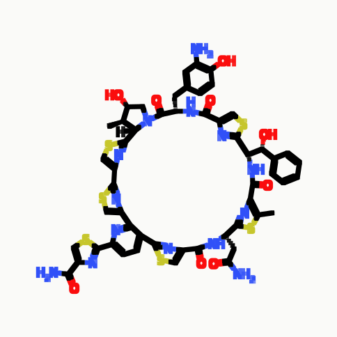 Cc1sc2nc1C(=O)N[C@@H]([C@H](O)c1ccccc1)c1nc(cs1)C(=O)N[C@@H](Cc1ccc(O)c(N)c1)C(=O)N1C[C@H](O)[C@H](C)[C@H]1c1nc(cs1)-c1nc(cs1)-c1nc(-c3nc(C(N)=O)cs3)ccc1-c1nc(cs1)C(=O)N[C@H]2CC(N)=O